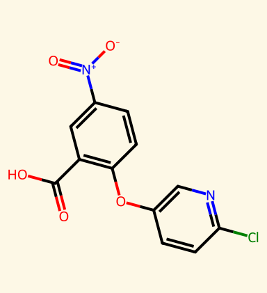 O=C(O)c1cc([N+](=O)[O-])ccc1Oc1ccc(Cl)nc1